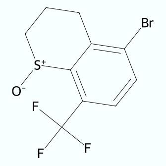 [O-][S+]1CCCc2c(Br)ccc(C(F)(F)F)c21